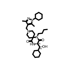 CCCCN1C(=O)[C@@H]([C@H](O)C2CCCCC2)NC(=O)C12CCN(Cc1c(C)nn(C3CCCCC3)c1C)CC2